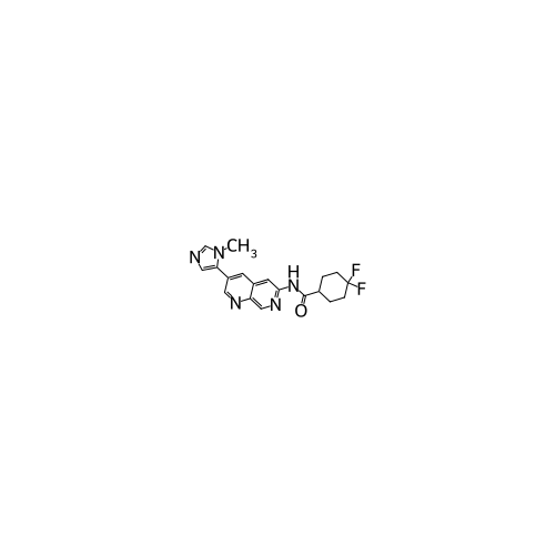 Cn1cncc1-c1cnc2cnc(NC(=O)C3CCC(F)(F)CC3)cc2c1